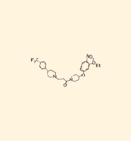 CCOc1cc(OC2CCN(C(=O)CCN3CCC(c4ccc(C(F)(F)F)cc4)CC3)CC2)ccc1[N+](=O)[O-]